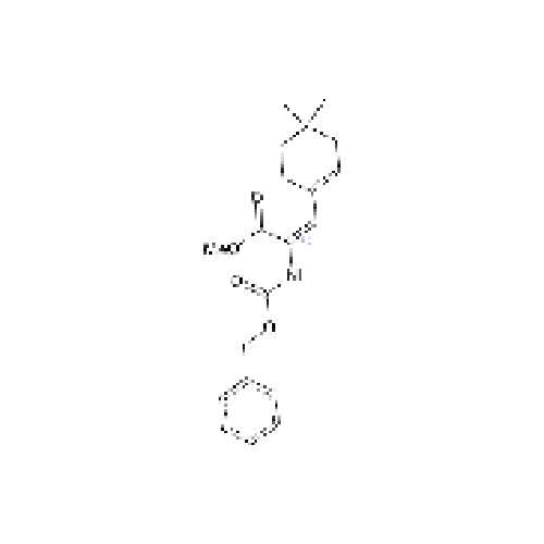 COC(=O)/C(=C\C1=CCC(C)(C)CC1)NC(=O)OCc1ccccc1